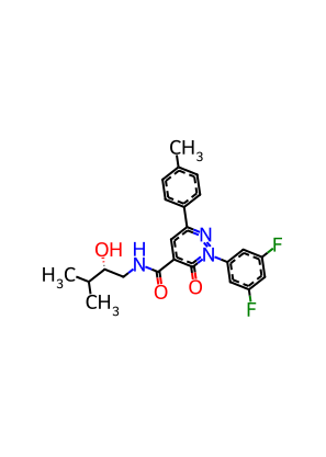 Cc1ccc(-c2cc(C(=O)NC[C@@H](O)C(C)C)c(=O)n(-c3cc(F)cc(F)c3)n2)cc1